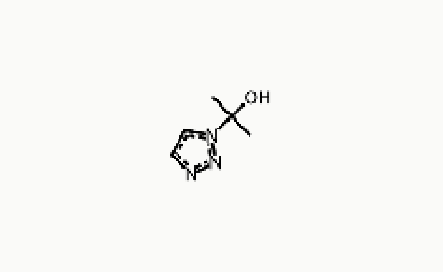 CC(C)(O)n1ccnn1